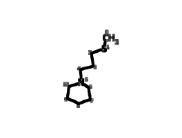 CSCCCN1CCCCC1